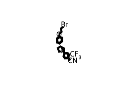 N#Cc1ccc(N2CC[C@@H](c3ccc(OCCCBr)cc3)C2)cc1C(F)(F)F